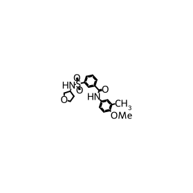 COc1ccc(NC(=O)c2cccc(S(=O)(=O)N[C@H]3CCOC3)c2)cc1C